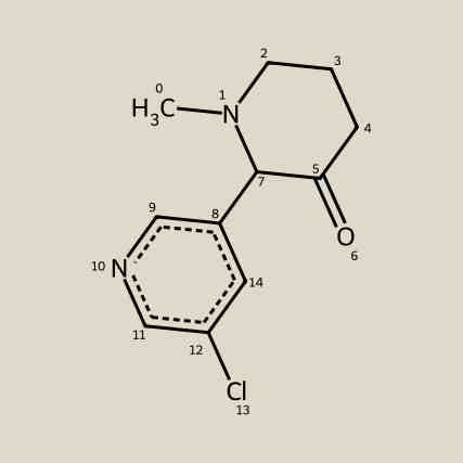 CN1CCCC(=O)C1c1cncc(Cl)c1